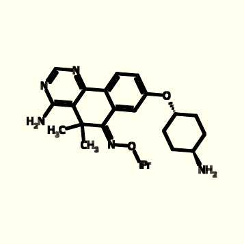 CC(C)O/N=C1\c2cc(O[C@H]3CC[C@H](N)CC3)ccc2-c2ncnc(N)c2C1(C)C